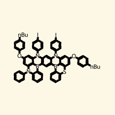 CCCCc1ccc(Oc2cc3c4c(c2)N(c2ccc(I)cc2)c2cc5c(cc2B4c2ccccc2S3)B2c3ccccc3N(c3ccccc3)c3cc(Oc4ccc(CCCC)cc4)cc(c32)N5c2ccc(I)cc2)cc1